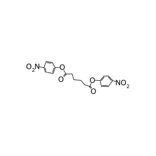 O=C(CCCCC(=O)Oc1ccc([N+](=O)[O-])cc1)Oc1ccc([N+](=O)[O-])cc1